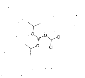 CC(C)OB(OC(C)C)OC(Cl)Cl